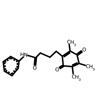 CC1=C(C)C(=O)C(CCCC(=O)Nc2ccccc2)=C(C)C1=O